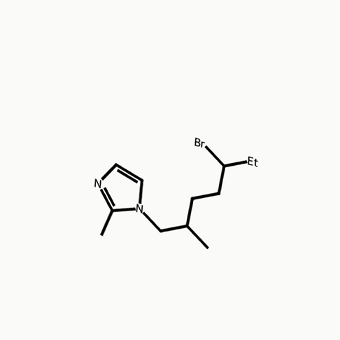 CCC(Br)CCC(C)Cn1ccnc1C